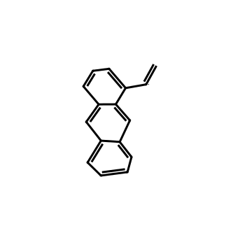 C=[C]c1cccc2cc3ccccc3cc12